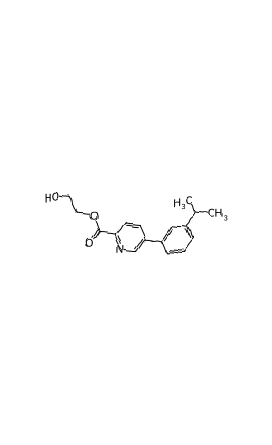 CC(C)c1cccc(-c2ccc(C(=O)OCCO)nc2)c1